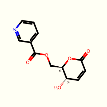 O=C1C=C[C@H](O)[C@@H](COC(=O)c2cccnc2)O1